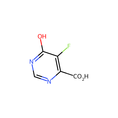 O=C(O)c1ncnc(O)c1F